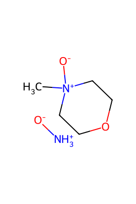 C[N+]1([O-])CCOCC1.[NH3+][O-]